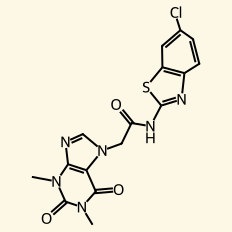 Cn1c(=O)c2c(ncn2CC(=O)Nc2nc3ccc(Cl)cc3s2)n(C)c1=O